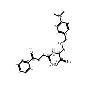 CN(C)c1ccc(COC[C@H](NC(=S)CCC(=O)c2ccccc2)C(=O)O)cc1